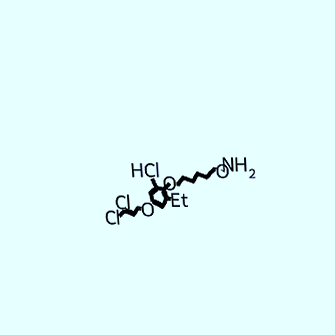 CCc1cc(OCC=C(Cl)Cl)cc(C)c1OCCCCCCON.Cl